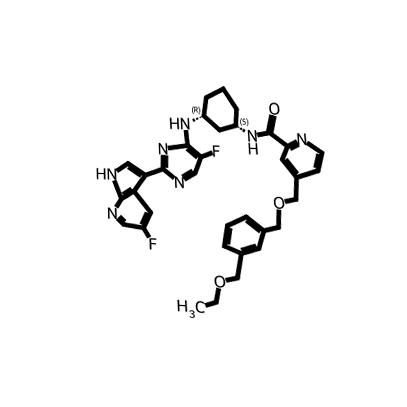 CCOCc1cccc(COCc2ccnc(C(=O)N[C@H]3CCC[C@@H](Nc4nc(-c5c[nH]c6ncc(F)cc56)ncc4F)C3)c2)c1